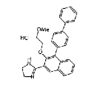 COCCOc1c(C2=NCCN2)cc2ccccc2c1-c1ccc(-c2ccccc2)cc1.Cl